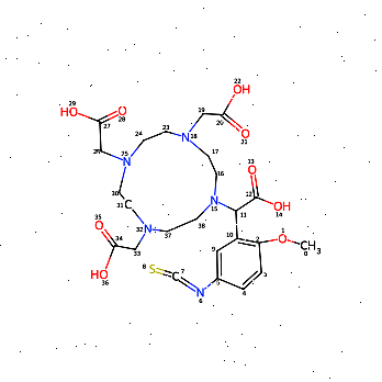 COc1ccc(N=C=S)cc1C(C(=O)O)N1CCN(CC(=O)O)CCN(CC(=O)O)CCN(CC(=O)O)CC1